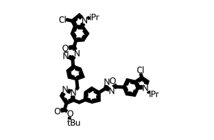 CC(C)n1cc(Cl)c2cc(-c3nc(-c4ccc(Cc5c(C(=O)OC(C)(C)C)cnn5Cc5ccc(-c6noc(-c7ccc8c(c7)c(Cl)cn8C(C)C)n6)cc5)cc4)no3)ccc21